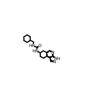 O=C(NCC1CCCCC1)NC1CCc2c(cnc3[nH]ncc23)C1